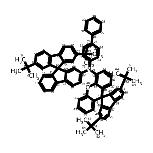 CC(C)(C)c1ccc2c(c1)C1(c3ccccc3-c3ccc(N(c4ccc(-c5ccccc5)cc4)c4cccc5c4Oc4ccccc4C54c5cc(C(C)(C)C)ccc5-c5ccc(C(C)(C)C)cc54)cc31)c1cc(C(C)(C)C)ccc1-2